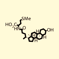 CSCCC(NC(=O)CCC(C)[C@H]1CC[C@H]2[C@@H]3CC[C@@H]4C[C@H](O)CC[C@]4(C)[C@H]3CC[C@]12C)C(=O)O